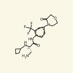 NC[C@H](NC1CCC1)C(=O)Nc1ccc(N2CCOCC2=O)cc1C(F)(F)F